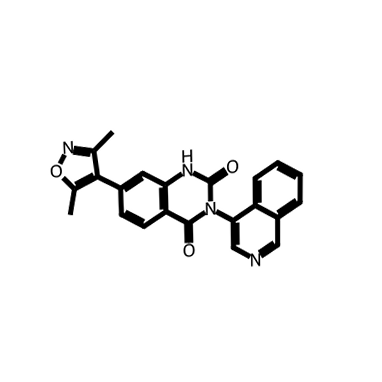 Cc1noc(C)c1-c1ccc2c(=O)n(-c3cncc4ccccc34)c(=O)[nH]c2c1